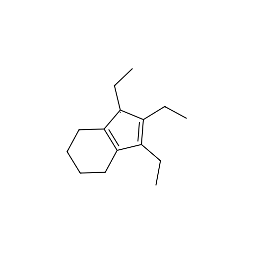 CC[C]1C(CC)=C(CC)C2=C1CCCC2